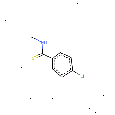 CNC(=S)c1ccc(Cl)cc1